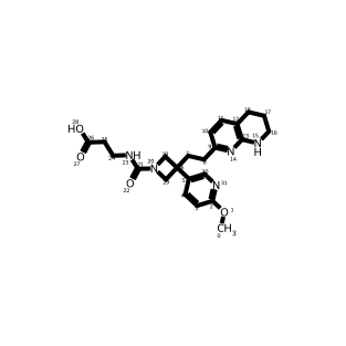 COc1ccc(C2(CCc3ccc4c(n3)NCCC4)CN(C(=O)NCCC(=O)O)C2)cn1